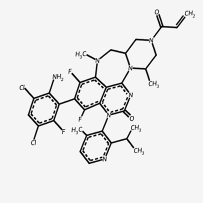 C=CC(=O)N1CC(C)N2c3nc(=O)n(-c4c(C)ccnc4C(C)C)c4c(F)c(-c5c(N)c(Cl)cc(Cl)c5F)c(F)c(c34)N(C)CC2C1